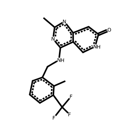 Cc1nc(NCc2cccc(C(F)(F)F)c2C)c2c[nH]c(=O)cc2n1